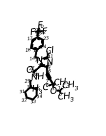 CC(C)OC(C)(C)C#Cc1nc(Cl)n(Cc2ccc(C(F)(F)F)cc2)c1C(=O)NCC1CCCCC1